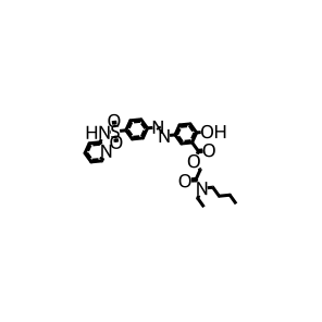 CCCCN(CC)C(=O)COC(=O)c1cc(N=Nc2ccc(S(=O)(=O)Nc3ccccn3)cc2)ccc1O